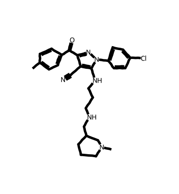 Cc1ccc(C(=O)c2nn(-c3ccc(Cl)cc3)c(NCCCNCC3CCCN(C)C3)c2C#N)cc1